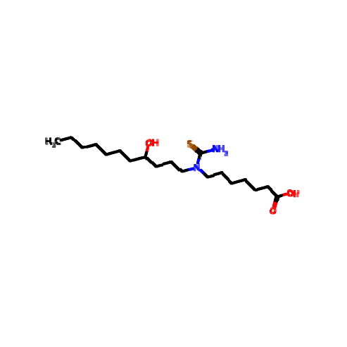 CCCCCCCC(O)CCCN(CCCCCCC(=O)O)C(N)=S